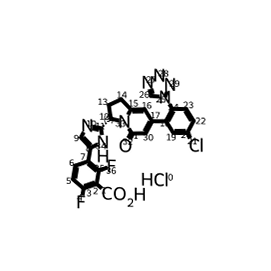 Cl.O=C(O)c1c(F)ccc(-c2cnc([C@@H]3CCc4cc(-c5cc(Cl)ccc5-n5cnnn5)cc(=O)n43)[nH]2)c1F